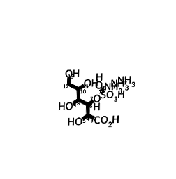 N.N.N.O=C(O)C(O)C(O)C(O)C(O)CO.O=S(=O)(O)O